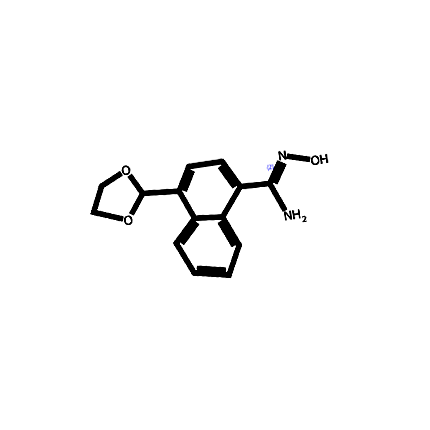 N/C(=N\O)c1ccc(C2OCCO2)c2ccccc12